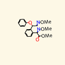 CON=CC(Oc1ccccc1)c1ccccc1C(=NOC)C(=O)OC